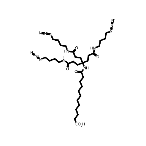 [N-]=[N+]=NCCCCNC(=O)CCC(CCC(=O)NCCCCN=[N+]=[N-])(CCC(=O)NCCCCN=[N+]=[N-])NC(=O)CCCCCCCCCCC(=O)O